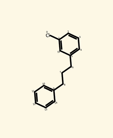 Clc1cccc([CH]CCc2ccccc2)c1